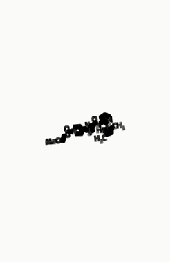 COCCOC(=O)N1CCC(c2nc(C(=O)Nc3cccnc3-n3nc(C)cc3C)cs2)CC1